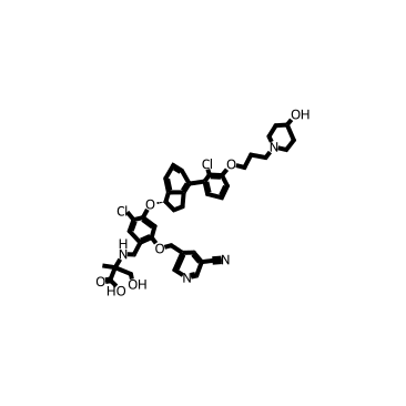 CC(CO)(NCc1cc(Cl)c(O[C@H]2CCc3c(-c4cccc(OCCCN5CCC(O)CC5)c4Cl)cccc32)cc1OCc1cncc(C#N)c1)C(=O)O